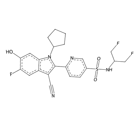 N#Cc1c(-c2ccc(S(=O)(=O)NC(CF)CF)cn2)n(C2CCCC2)c2cc(O)c(F)cc12